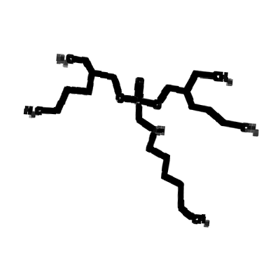 CCCCCCNCP(=O)(OCC(CC)CCCC)OCC(CC)CCCC